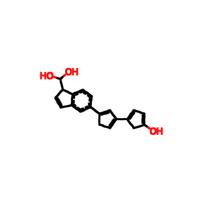 OC1=CC=C(C2=CCC(c3ccc4c(c3)C=CC4C(O)O)=C2)C1